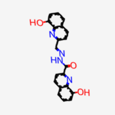 O=C(N/N=C/c1ccc2cccc(O)c2n1)c1ccc2cccc(O)c2n1